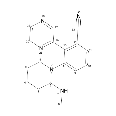 CNC1CCCCN1c1cccc(C#N)c1-c1cnccn1